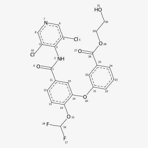 O=C(Nc1c(Cl)cncc1Cl)c1ccc(OC(F)F)c(Oc2cccc(C(=O)OCCO)c2)c1